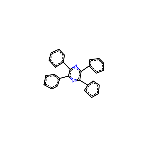 c1ccc(-c2nc(-c3ccccc3)c(-c3ccccc3)nc2-c2ccccc2)cc1